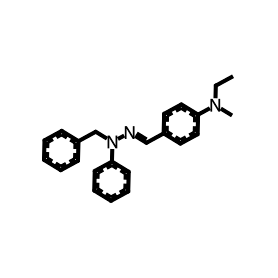 CCN(C)c1ccc(C=NN(Cc2ccccc2)c2ccccc2)cc1